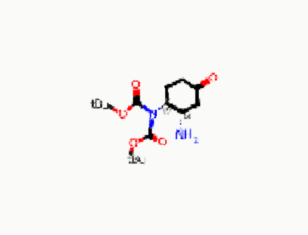 CC(C)(C)OC(=O)N(C(=O)OC(C)(C)C)[C@@H]1CCC(=O)C[C@@H]1N